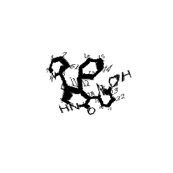 O=c1[nH]cc(-c2ccccn2)c(-c2ccccc2)c1-c1cccc(O)n1